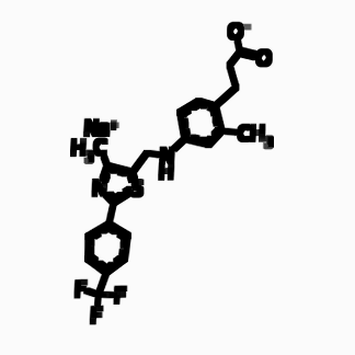 Cc1cc(NCc2sc(-c3ccc(C(F)(F)F)cc3)nc2C)ccc1CCC(=O)[O-].[Na+]